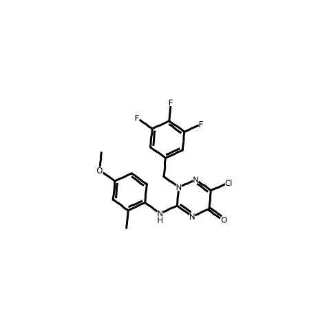 COc1ccc(Nc2nc(=O)c(Cl)nn2Cc2cc(F)c(F)c(F)c2)c(C)c1